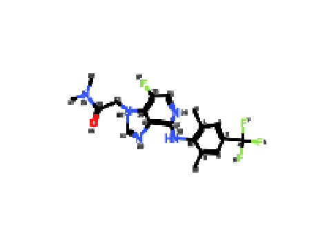 Cc1cc(C(F)(F)F)cc(C)c1Nc1ncc(F)c2c1ncn2CC(=O)N(C)C